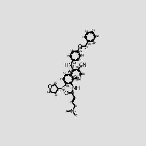 CN(C)C/C=C/C(=O)Nc1c(O[C@H]2CCOC2)ccc2c(Nc3ccc(OCc4ccccc4)cc3)c(C#N)cnc12